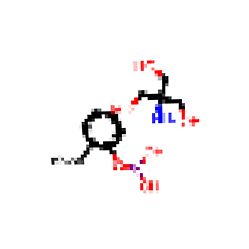 CCCCCCCCCc1ccccc1OP(O)O.NC(CO)(CO)CO